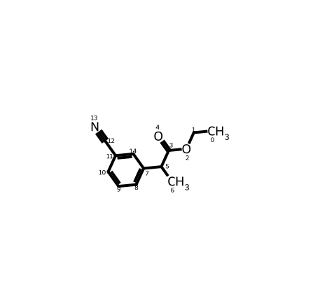 CCOC(=O)C(C)c1cccc(C#N)c1